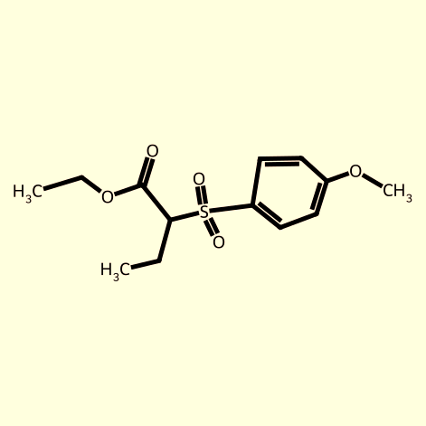 CCOC(=O)C(CC)S(=O)(=O)c1ccc(OC)cc1